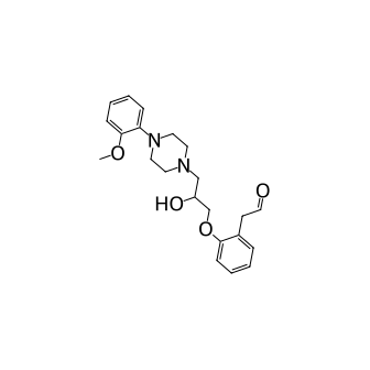 COc1ccccc1N1CCN(CC(O)COc2ccccc2CC=O)CC1